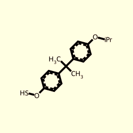 CC(C)Oc1ccc(C(C)(C)c2ccc(OS)cc2)cc1